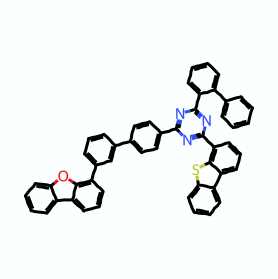 c1ccc(-c2ccccc2-c2nc(-c3ccc(-c4cccc(-c5cccc6c5oc5ccccc56)c4)cc3)nc(-c3cccc4c3sc3ccccc34)n2)cc1